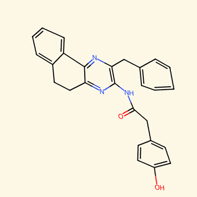 O=C(Cc1ccc(O)cc1)Nc1nc2c(nc1Cc1ccccc1)-c1ccccc1CC2